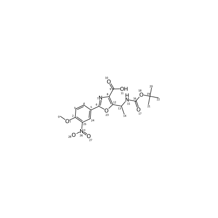 COc1ccc(-c2nc(C(=O)O)c(C(C)NC(=O)OC(C)(C)C)o2)cc1[N+](=O)[O-]